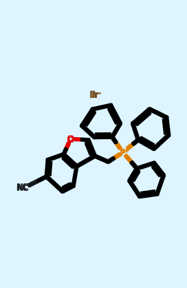 N#Cc1ccc2c(C[P+](c3ccccc3)(c3ccccc3)c3ccccc3)coc2c1.[Br-]